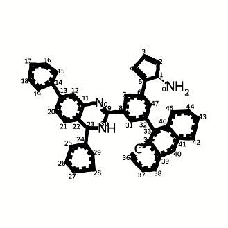 N[C@H]1C=CC=C1c1cc(C2=Nc3cc(-c4ccccc4)ccc3C(c3ccccc3)N2)cc(-c2c3ccccc3cc3ccccc23)c1